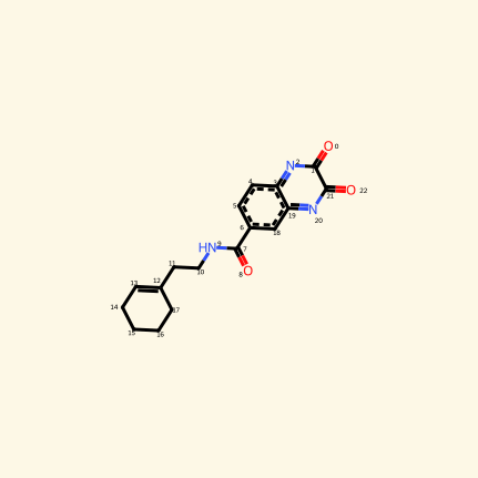 O=C1N=c2ccc(C(=O)NCCC3=CCCCC3)cc2=NC1=O